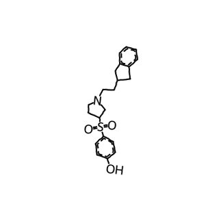 O=S(=O)(c1ccc(O)cc1)C1CCN(CCC2Cc3ccccc3C2)C1